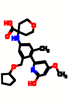 COc1cc(O)nc(-c2c(C)cc(NC3(C(=O)O)CCOCC3)cc2COC2CCCC2)c1